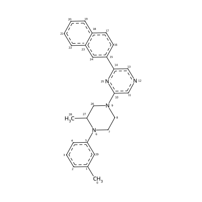 Cc1cccc(N2CCN(c3cncc(-c4ccc5ccccc5c4)n3)CC2C)c1